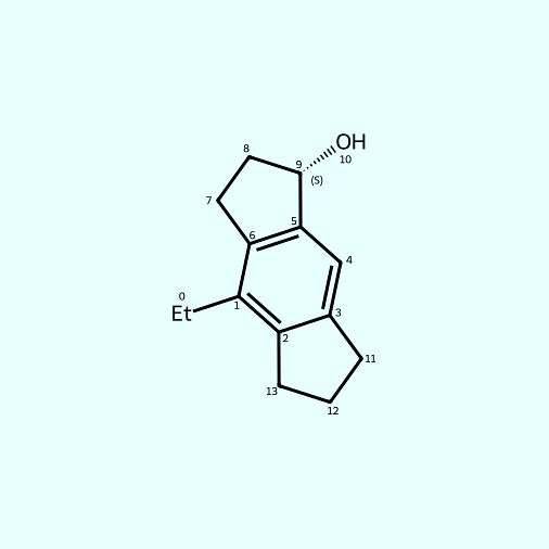 CCc1c2c(cc3c1CC[C@@H]3O)CCC2